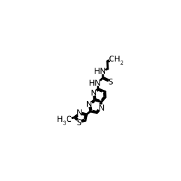 C=CCNC(=S)Nc1ccc2ncc(-c3csc(C)n3)nc2n1